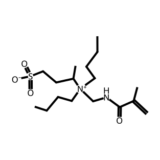 C=C(C)C(=O)NC[N+](CCCC)(CCCC)C(C)CCS(=O)(=O)[O-]